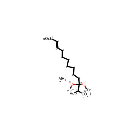 CCCCCCCCC=CCCCCCCCC(OC(C)C)(OC(C)C)C(C(C)=O)C(=O)O.[AlH3]